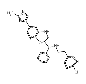 Cn1cc(-c2cnc3c(c2)NC[C@@H]([C@H](NCCc2ccc(Cl)nc2)c2ccccc2)O3)cn1